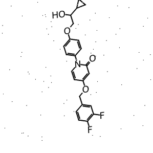 O=c1cc(OCc2ccc(F)c(F)c2)ccn1-c1ccc(OCC(O)C2CC2)cc1